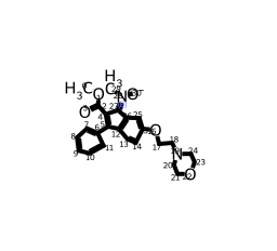 COC(=O)C1=C(c2ccccc2)c2ccc(OCCN3CCOCC3)cc2/C1=[N+](/C)[O-]